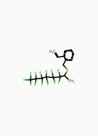 C=Cc1ccccc1CSC(C)C(F)(F)C(F)(F)C(F)(F)C(F)(F)C(F)(F)C(F)(F)F